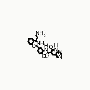 NCCC(NC(=O)c1ccc(Cl)c(NC(=O)c2cc3cncnc3[nH]c2=O)c1)c1ccccc1